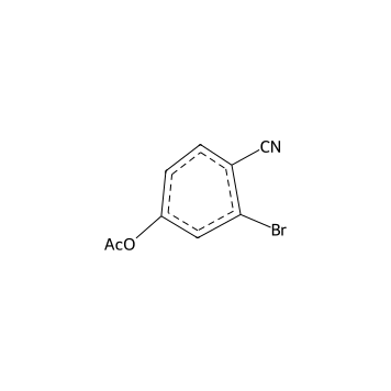 CC(=O)Oc1ccc(C#N)c(Br)c1